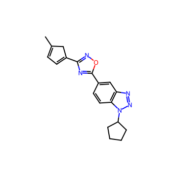 CC1=CC=C(c2noc(-c3ccc4c(c3)nnn4C3CCCC3)n2)C1